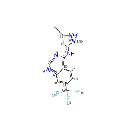 Cc1cc(Nc2n[c]nc3cc(C(F)(F)F)ccc23)n[nH]1